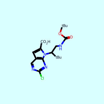 CC(C)(C)OC(=O)NCC(n1c(C(=O)O)cc2cnc(Cl)nc21)C(C)(C)C